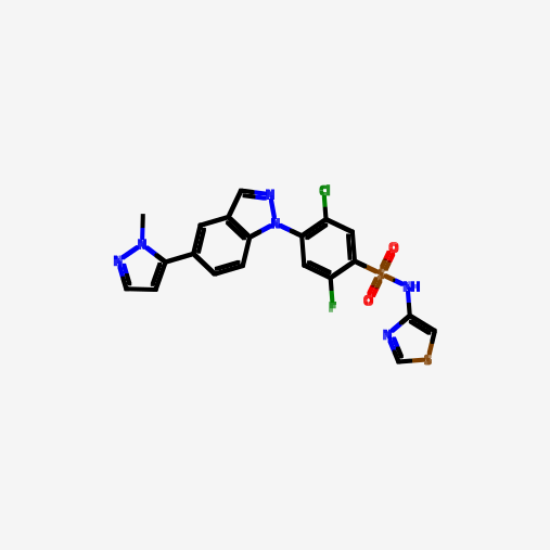 Cn1nccc1-c1ccc2c(cnn2-c2cc(F)c(S(=O)(=O)Nc3cscn3)cc2Cl)c1